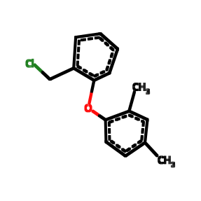 Cc1ccc(Oc2ccccc2CCl)c(C)c1